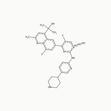 Cc1cc(C(C)(C)O)c2cc(-c3nc(Nc4ccc(C5CCNCC5)cn4)ncc3F)cc(F)c2n1.Cl.Cl.Cl